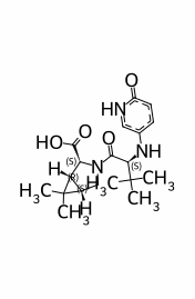 CC(C)(C)[C@H](Nc1ccc(=O)[nH]c1)C(=O)N1C[C@H]2[C@@H]([C@H]1C(=O)O)C2(C)C